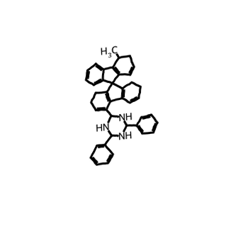 CC1CC=CC2=C1c1ccccc1C21C2=C(C=CCC2)C2=C1CCC=C2C1NC(c2ccccc2)NC(c2ccccc2)N1